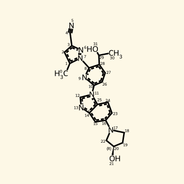 Cc1cc(C#N)nn1-c1nc(-n2cnc3cc(N4CC[C@@H](O)C4)ccc32)ccc1C(C)O